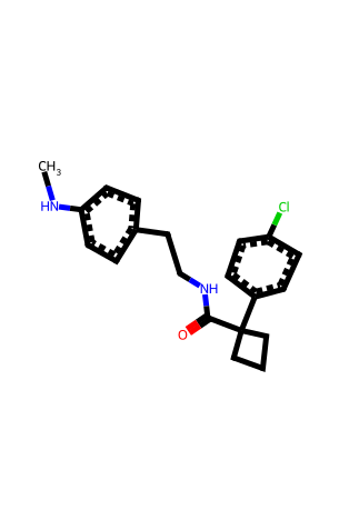 CNc1ccc(CCNC(=O)C2(c3ccc(Cl)cc3)CCC2)cc1